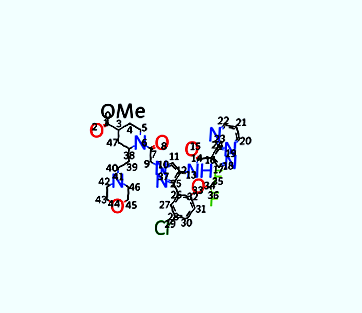 COC(=O)C1CCN(C(=O)Cn2cc(NC(=O)c3cnn4cccnc34)c(-c3cc(Cl)ccc3OC(F)F)n2)C(CCN2CCOCC2)C1